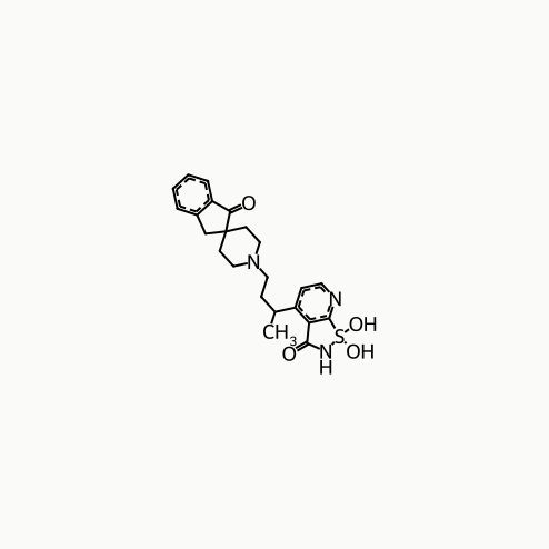 CC(CCN1CCC2(CC1)Cc1ccccc1C2=O)c1ccnc2c1C(=O)NS2(O)O